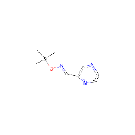 C[Si](C)(C)ON=Cc1cnccn1